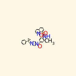 Cc1cc(C(=O)N2CCN(CC3(c4ccccc4)CC3)CC2)ccc1NS(=O)(=O)c1cccc2cccnc12